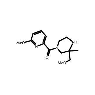 COCC1(C)CN(C(=O)c2cccc(OC)n2)CCN1